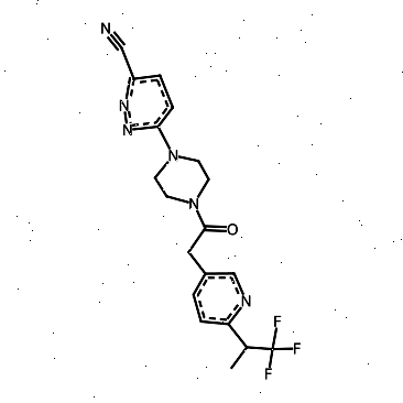 CC(c1ccc(CC(=O)N2CCN(c3ccc(C#N)nn3)CC2)cn1)C(F)(F)F